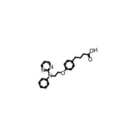 O=C(O)CCCc1ccc(OCCN(c2ccccc2)c2ncccn2)cc1